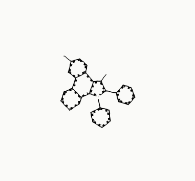 Clc1ccc2c(c1)c1ccccc1c1c2c(I)c(-c2ccccc2)n1-c1ccccc1